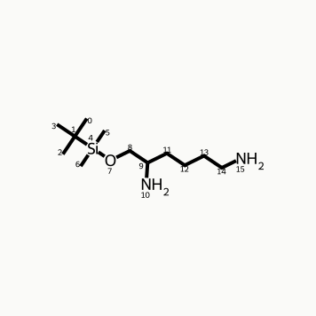 CC(C)(C)[Si](C)(C)OCC(N)CCCCN